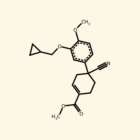 COC(=O)C1=CCC(C#N)(c2ccc(OC)c(OCC3CC3)c2)CC1